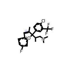 C/C(=C/c1ccc(F)cc1)C(O)(c1ccc(Cl)c(C(F)(F)F)c1)C(C)CN(C)C